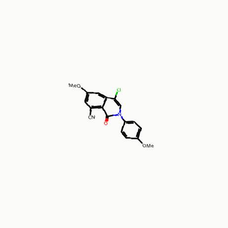 COc1ccc(-n2cc(Cl)c3cc(OC)cc(C#N)c3c2=O)cc1